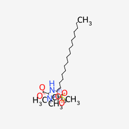 CCCCCCCCCCCCCCCC/C=C(\NC(C(=O)[O-])[N+](C)(C)C)OS(C)(=O)=O